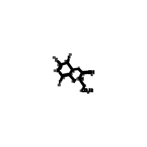 CCOC(=O)CNC(=N)CC1C(F)=C(F)N=C(F)C1F